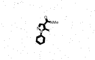 CNC(=O)c1cnn(-c2ccccc2)c1I